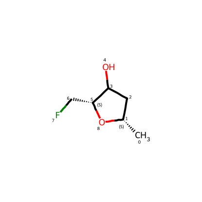 C[C@H]1CC(O)[C@@H](CF)O1